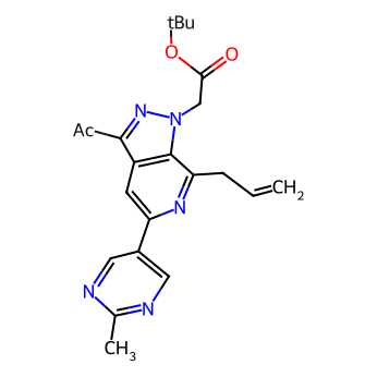 C=CCc1nc(-c2cnc(C)nc2)cc2c(C(C)=O)nn(CC(=O)OC(C)(C)C)c12